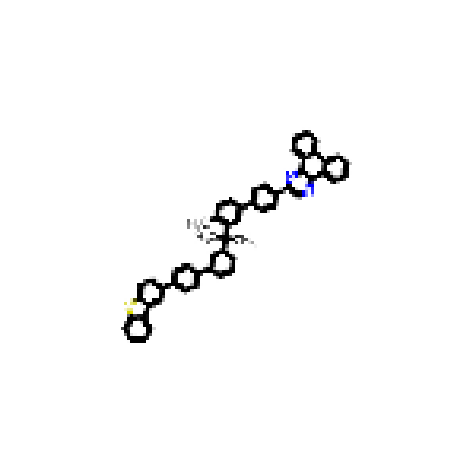 Cc1ccc(-c2ccc(-c3cnc4c5ccccc5c5ccccc5c4n3)cc2)cc1C(C)(C)C1C=C(c2ccc(-c3ccc4sc5ccccc5c4c3)cc2)C=CC1